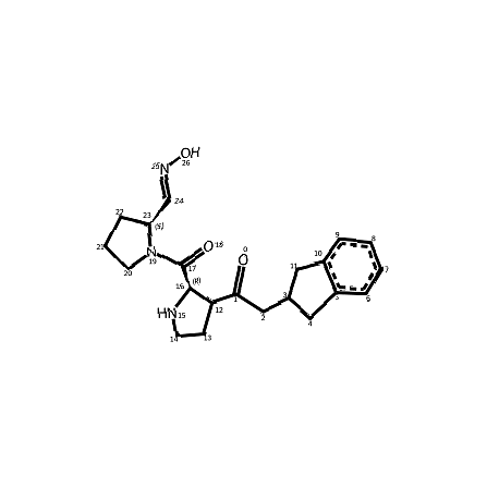 O=C(CC1Cc2ccccc2C1)C1CCN[C@H]1C(=O)N1CCC[C@H]1C=NO